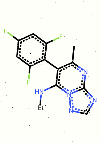 CCNc1c(-c2c(F)cc(F)cc2F)c(C)nc2ncnn12